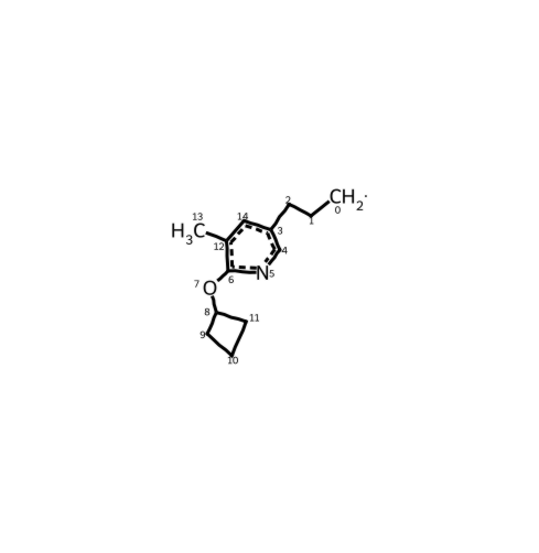 [CH2]CCc1cnc(OC2CCC2)c(C)c1